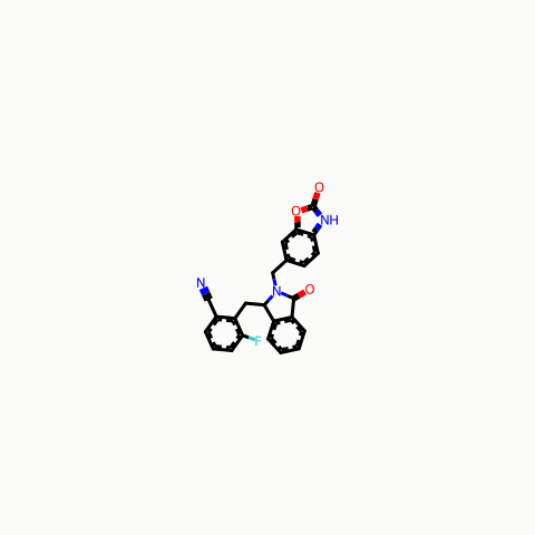 N#Cc1cccc(F)c1CC1c2ccccc2C(=O)N1Cc1ccc2[nH]c(=O)oc2c1